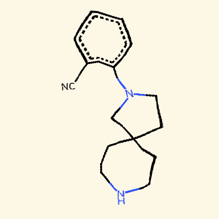 N#Cc1ccccc1N1CCC2(CCNCC2)C1